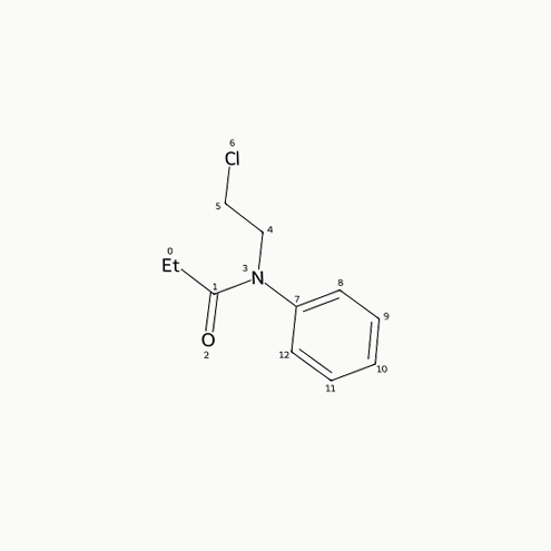 CCC(=O)N(CCCl)c1ccccc1